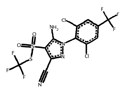 N#Cc1nn(-c2c(Cl)cc(C(F)(F)F)cc2Cl)c(N)c1S(=O)(=O)SC(F)(F)F